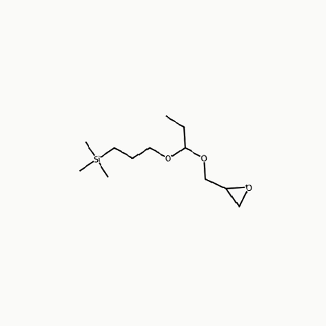 CCC(OCCC[Si](C)(C)C)OCC1CO1